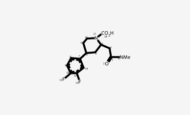 CNC(=O)CC1CC(c2ccc(F)c(F)c2)CCN1C(=O)O